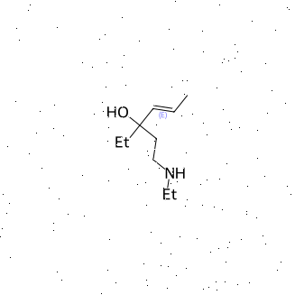 C/C=C/C(O)(CC)CCNCC